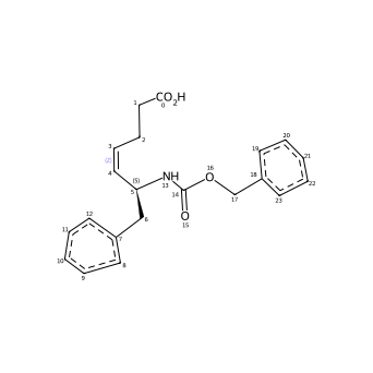 O=C(O)CC/C=C\[C@H](Cc1ccccc1)NC(=O)OCc1ccccc1